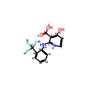 O=C(O)c1c(O)ccnc1Nc1ccccc1C(F)(F)F